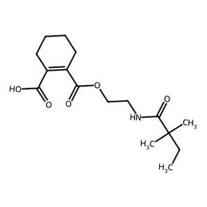 CCC(C)(C)C(=O)NCCOC(=O)C1=C(C(=O)O)CCCC1